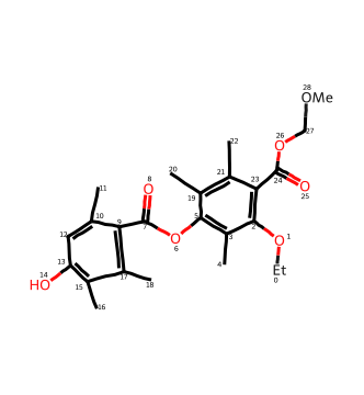 CCOc1c(C)c(OC(=O)c2c(C)cc(O)c(C)c2C)c(C)c(C)c1C(=O)OCOC